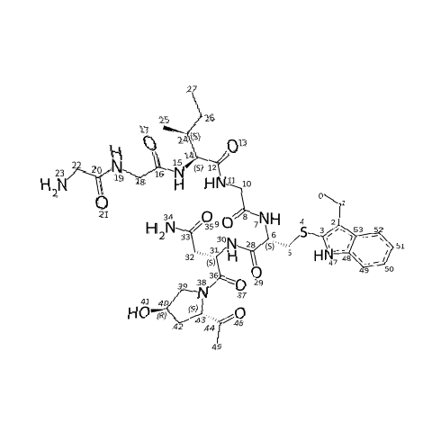 CCc1c(SC[C@@H](NC(=O)CNC(=O)[C@@H](NC(=O)CNC(=O)CN)[C@@H](C)CC)C(=O)N[C@@H](CC(N)=O)C(=O)N2C[C@H](O)C[C@H]2C(C)=O)[nH]c2ccccc12